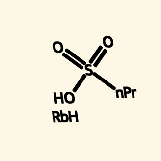 [CH2]CCS(=O)(=O)O.[RbH]